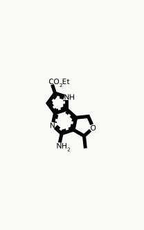 CCOC(=O)c1cc2nc(N)c3c(c2[nH]1)COC3C